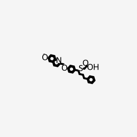 COc1ccc2nc(COc3ccc(C(CCCc4ccccc4)SCC(=O)O)cc3)ccc2c1